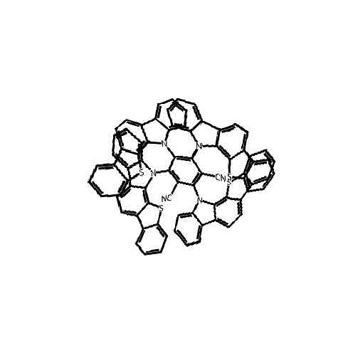 N#Cc1c(-n2c3ccccc3c3ccc4c5ccccc5sc4c32)c(C#N)c(-n2c3ccccc3c3ccc4c5ccccc5sc4c32)c(-n2c3ccccc3c3ccc4c5ccccc5sc4c32)c1-n1c2ccccc2c2ccc3c4ccccc4sc3c21